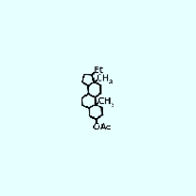 CCC1CCC2C3CCC4CC(OC(C)=O)CCC4(C)C3CCC12C